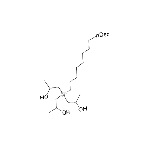 CCCCCCCCCCCCCCCCCC[N+](CC(C)O)(CC(C)O)CC(C)O